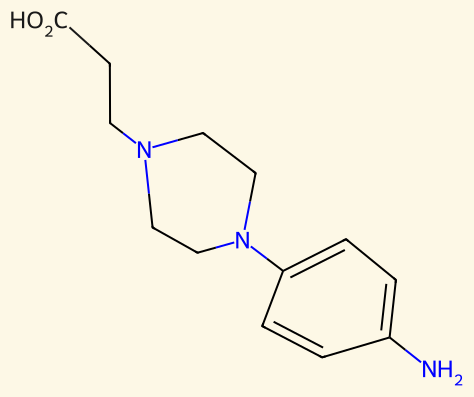 Nc1ccc(N2CCN(CCC(=O)O)CC2)cc1